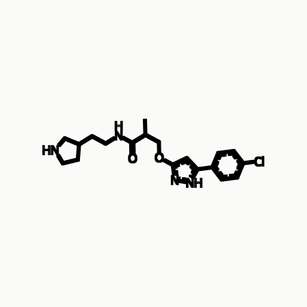 CC(COc1cc(-c2ccc(Cl)cc2)[nH]n1)C(=O)NCCC1CCNC1